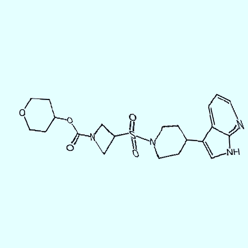 O=C(OC1CCOCC1)N1CC(S(=O)(=O)N2CCC(c3c[nH]c4ncccc34)CC2)C1